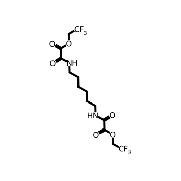 O=C(NCCCCCCNC(=O)C(=O)OCC(F)(F)F)C(=O)OCC(F)(F)F